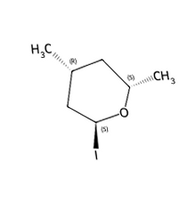 C[C@@H]1C[C@H](C)O[C@@H](I)C1